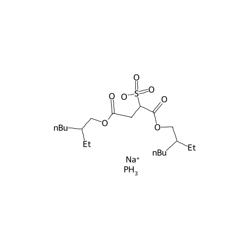 CCCCC(CC)COC(=O)CC(C(=O)OCC(CC)CCCC)S(=O)(=O)[O-].P.[Na+]